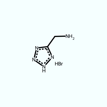 Br.NCc1nn[nH]n1